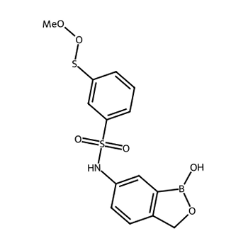 COOSc1cccc(S(=O)(=O)Nc2ccc3c(c2)B(O)OC3)c1